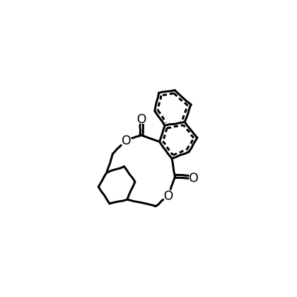 O=C1OCC2CCC(CC2)COC(=O)c2c1ccc1ccccc21